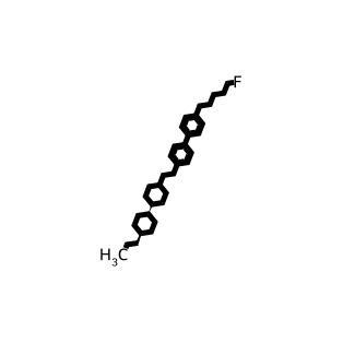 CCC[C@H]1CC[C@H](C2CCC(CCc3ccc(-c4ccc(CCCCCF)cc4)cc3)CC2)CC1